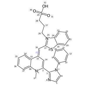 CN1C(c2nccn2-c2ccccc2)=C/C(=C\c2sc3ccccc3[n+]2CCCS(=O)(=O)O)c2ccccc21